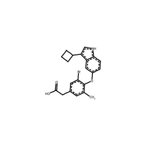 Cc1cc(CC(=O)O)cc(Br)c1Oc1ccc2[nH]cc(C3CCC3)c2c1